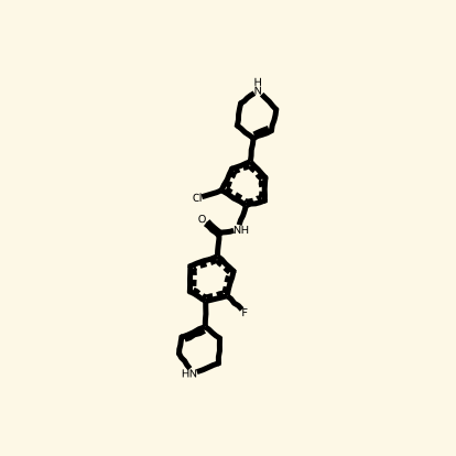 O=C(Nc1ccc(C2=CCNCC2)cc1Cl)c1ccc(C2=CCNCC2)c(F)c1